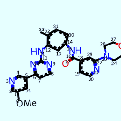 COc1cncc(-c2ccnc(Nc3cc(NC(=O)c4ccnc(N5CCOCC5)c4)ccc3C)n2)c1